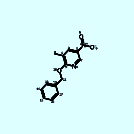 Cc1cc([N+](=O)[O-])cnc1OCc1ccccc1